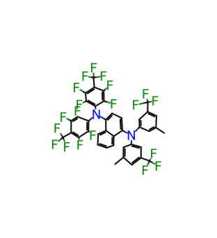 Cc1cc(N(c2cc(C)cc(C(F)(F)F)c2)c2ccc(N(c3c(F)c(F)c(C(F)(F)F)c(F)c3F)c3c(F)c(F)c(C(F)(F)F)c(F)c3F)c3ccccc23)cc(C(F)(F)F)c1